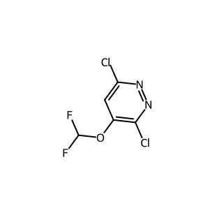 FC(F)Oc1cc(Cl)nnc1Cl